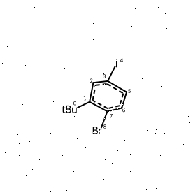 CC(C)(C)c1cc(I)ccc1Br